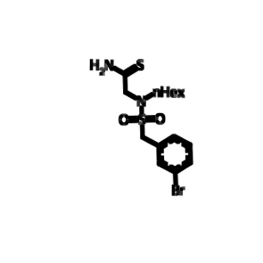 CCCCCCN(CC(N)=S)S(=O)(=O)Cc1cccc(Br)c1